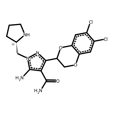 NC(=O)c1c(C2COc3cc(Cl)c(Cl)cc3O2)nn(C[C@@H]2CCCN2)c1N